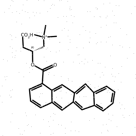 C[N+](C)(C)C[C@@H](CC(=O)O)OC(=O)c1cccc2cc3cc4ccccc4cc3cc12